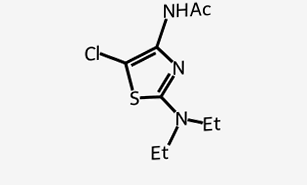 CCN(CC)c1nc(NC(C)=O)c(Cl)s1